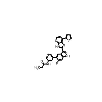 CCC(=O)Nc1cncc(-c2cc3c(-c4nc5c(-c6cccs6)ccnc5[nH]4)n[nH]c3cc2F)c1